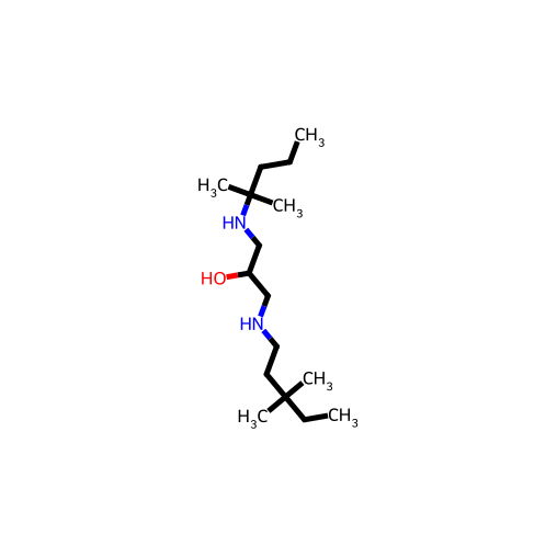 CCCC(C)(C)NCC(O)CNCCC(C)(C)CC